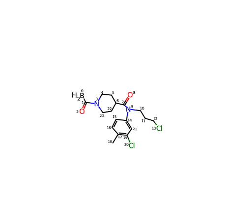 BC(=O)N1CCC(C(=O)N(CCCCl)c2ccc(C)c(Cl)c2)CC1